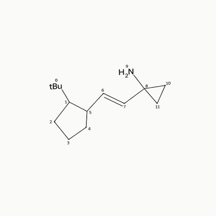 CC(C)(C)C1CCCC1C=CC1(N)CC1